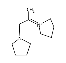 CC(CN1CCCC1)=[N+]1CCCC1